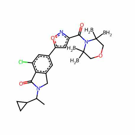 BC1(B)COCC(B)(B)N1C(=O)c1cc(-c2cc(Cl)c3c(c2)CN(C(C)C2CC2)C3=O)on1